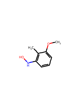 COc1cccc(NO)c1C